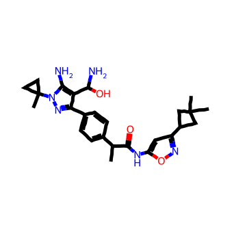 CC(C(=O)Nc1cc(C2CC(C)(C)C2)no1)c1ccc(-c2nn(C3(C)CC3)c(N)c2C(N)O)cc1